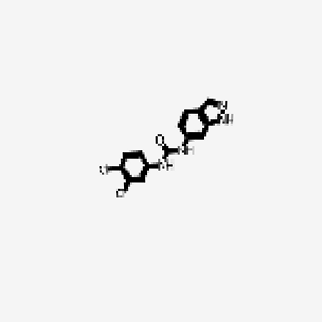 O=C(Nc1ccc(Cl)c(Cl)c1)Nc1ccc2cn[nH]c2c1